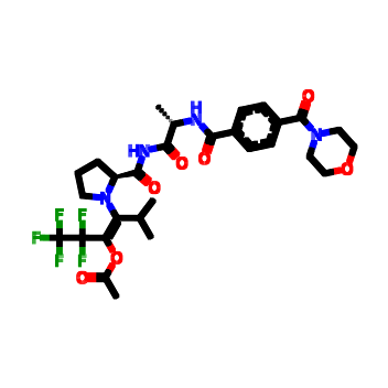 CC(=O)O/C(=C(\C(C)C)N1CCC[C@H]1C(=O)NC(=O)[C@H](C)NC(=O)c1ccc(C(=O)N2CCOCC2)cc1)C(F)(F)C(F)(F)F